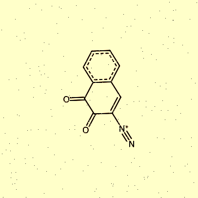 N#[N+]C1=Cc2ccccc2C(=O)C1=O